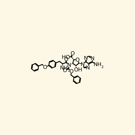 Nc1ncnc2c1ncn2[C@@H]1O[C@H](C(=O)O)[C@@H](N(C(=O)OCc2ccccc2)C(=O)[C@@H](N)Cc2ccc(OCc3ccccc3)cc2)[C@H]1O